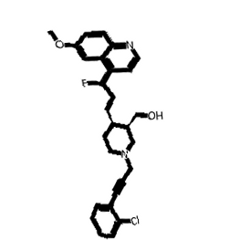 COc1ccc2nccc(C(F)CC[C@@H]3CCN(CC#Cc4ccccc4Cl)C[C@@H]3CO)c2c1